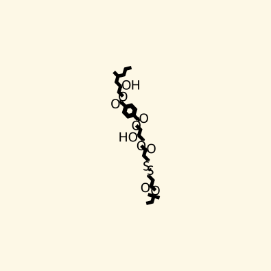 CCCC(C)CC(O)COC(=O)c1ccc(C(=O)OCC(O)COC(=O)CCSSCCC(=O)OC(C)(C)CC)cc1